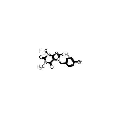 Cc1nc2c(c(=O)n(C)c(=O)n2C)n1Cc1ccc(Br)cc1